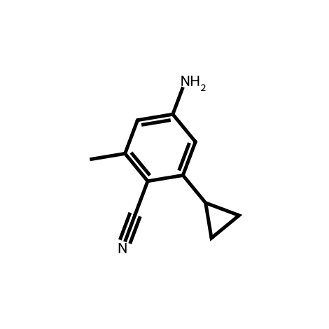 Cc1cc(N)cc(C2CC2)c1C#N